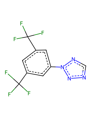 FC(F)(F)c1cc(-n2ncnn2)cc(C(F)(F)F)c1